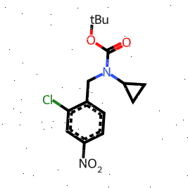 CC(C)(C)OC(=O)N(Cc1ccc([N+](=O)[O-])cc1Cl)C1CC1